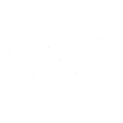 Cc1cccc(-c2nc(OC(CCN3CCOCC3)c3cc[nH]n3)nc3sc(C(N)=O)c(N)c23)n1